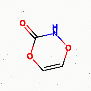 O=C1NOC=CO1